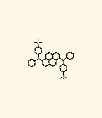 C[SiH](C)c1ccc(N(c2ccccc2)c2ccc3ccc4c(N(c5ccccc5)c5ccc([Si](C)(C)C)cc5)ccc5ccc2c3c54)cc1